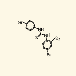 CCC(C)c1cc(Br)ccc1NC(=S)Nc1ccc(Br)cc1